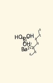 CCCCC(CC)[CH2][Ba+2].OP(O)O